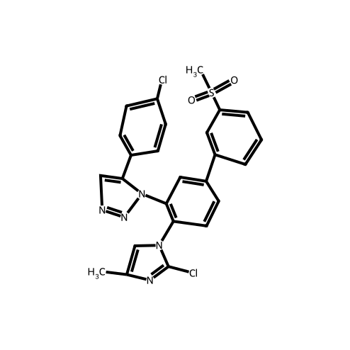 Cc1cn(-c2ccc(-c3cccc(S(C)(=O)=O)c3)cc2-n2nncc2-c2ccc(Cl)cc2)c(Cl)n1